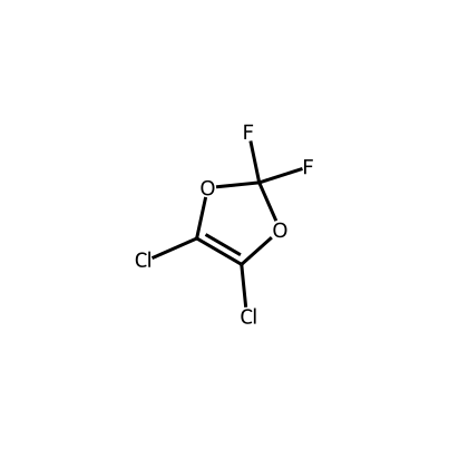 FC1(F)OC(Cl)=C(Cl)O1